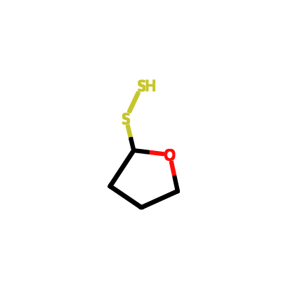 SSC1CCCO1